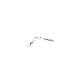 CCCCCCCOC(=O)N=NC(=O)O[SiH2]CCCC